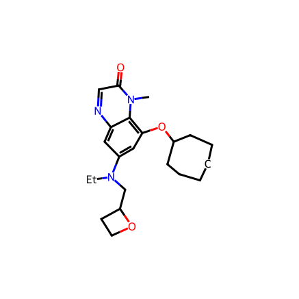 CCN(CC1CCO1)c1cc(OC2CCCCCC2)c2c(c1)ncc(=O)n2C